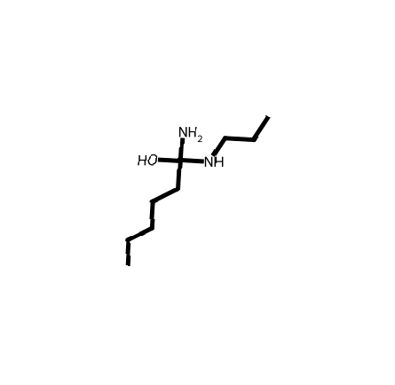 CCCCCC(N)(O)NCCC